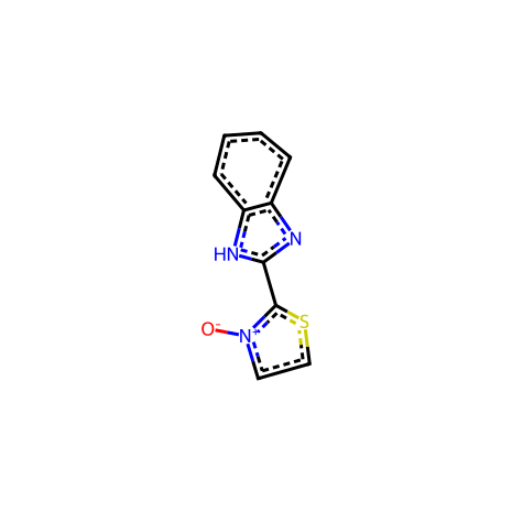 [O-][n+]1ccsc1-c1nc2ccccc2[nH]1